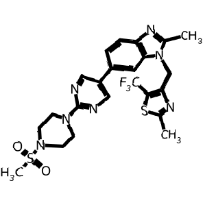 Cc1nc(Cn2c(C)nc3ccc(-c4cnc(N5CCN(S(C)(=O)=O)CC5)nc4)cc32)c(C(F)(F)F)s1